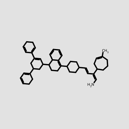 CC1=CCC(C(=C/N)/C=C/C2CCC(C3=C4C=CC=CC4C(C4C=C(C5=CCCC=C5)CC(C5=CC=CCC5)C4)CC3)CC2)CCC1